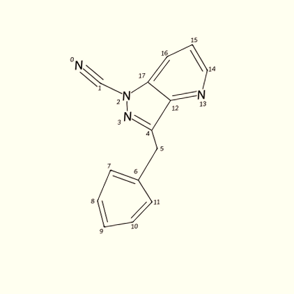 N#Cn1nc(Cc2ccccc2)c2ncccc21